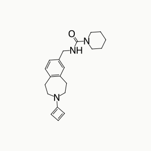 O=C(NCc1ccc2c(c1)CCN(C1=CC=C1)CC2)N1CCCCC1